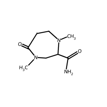 CN1CC(C(N)=O)N(C)C[CH]C1=O